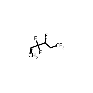 C=CC(F)(F)C(F)CC(F)(F)F